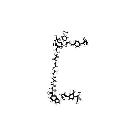 Cc1ncsc1-c1ccc(CNC(=O)[C@@H]2C[C@@H](O)CN2C(=O)[C@@H](NC(=O)CCOCCOCCOCCOCCOCCNC(=O)c2ccc3c(c2)[C@H](N2CC=C(c4ccc(C(=O)N(C)C)c(O)c4)O2)CC3)C(C)(C)C)cc1